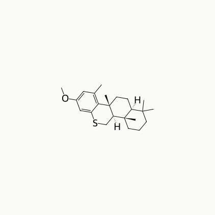 COc1cc(C)c2c(c1)SC[C@@H]1[C@@]3(C)CCCC(C)(C)[C@@H]3CC[C@@]21C